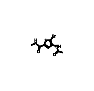 CNC(=O)c1cc(NC(C)=O)c(Br)s1